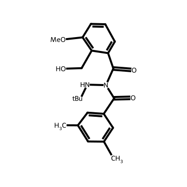 COc1cccc(C(=O)N(NC(C)(C)C)C(=O)c2cc(C)cc(C)c2)c1CO